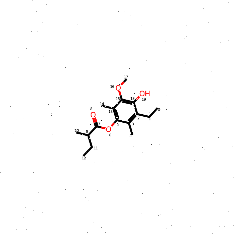 CCc1c(C)c(OC(=O)C(C)CC)c(C)c(OC)c1O